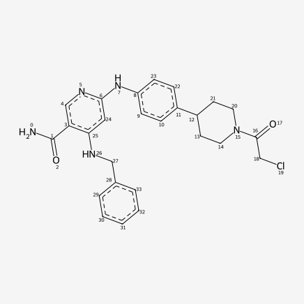 NC(=O)c1cnc(Nc2ccc(C3CCN(C(=O)CCl)CC3)cc2)cc1NCc1ccccc1